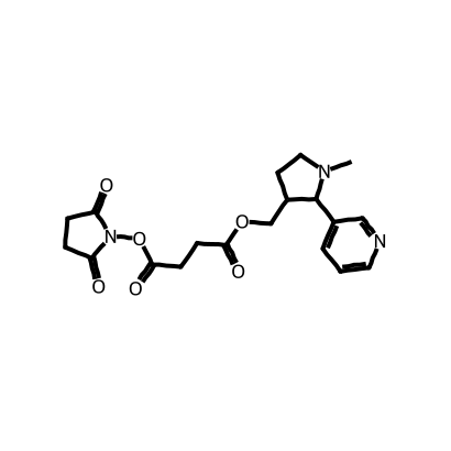 CN1CCC(COC(=O)CCC(=O)ON2C(=O)CCC2=O)C1c1cccnc1